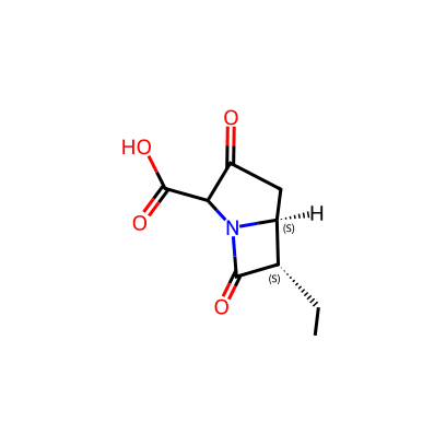 CC[C@@H]1C(=O)N2C(C(=O)O)C(=O)C[C@@H]12